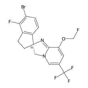 FCOC1=CC(C(F)(F)F)=CN2C[C@@]3(CCc4c3ccc(Br)c4F)N=C12